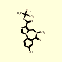 CN1Cc2c(C(=O)OC(C)(C)C)ncn2-c2ccc(O)cc2C1=O